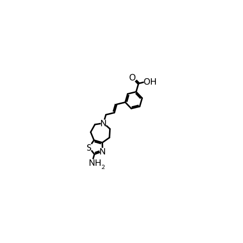 Nc1nc2c(s1)CCN(CC=Cc1cccc(C(=O)O)c1)CC2